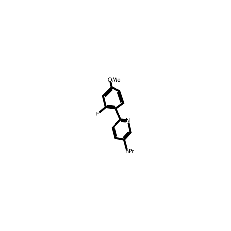 CCCc1ccc(-c2ccc(OC)cc2F)nc1